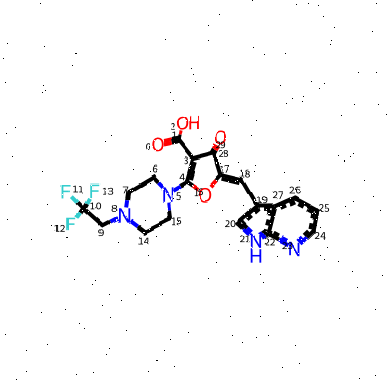 O=C(O)C1=C(N2CCN(CC(F)(F)F)CC2)O/C(=C\c2c[nH]c3ncccc23)C1=O